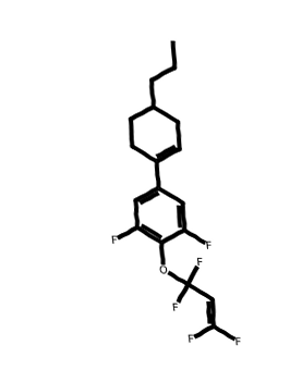 CCCC1CC=C(c2cc(F)c(OC(F)(F)C=C(F)F)c(F)c2)CC1